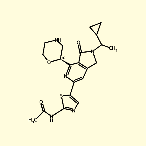 CC(=O)Nc1ncc(-c2cc3c(c([C@@H]4CNCCO4)n2)C(=O)N(C(C)C2CC2)C3)s1